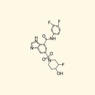 O=C(Nc1ccc(F)c(F)c1)c1cc(S(=O)(=O)N2CCC(O)C(F)C2)cc2nc[nH]c12